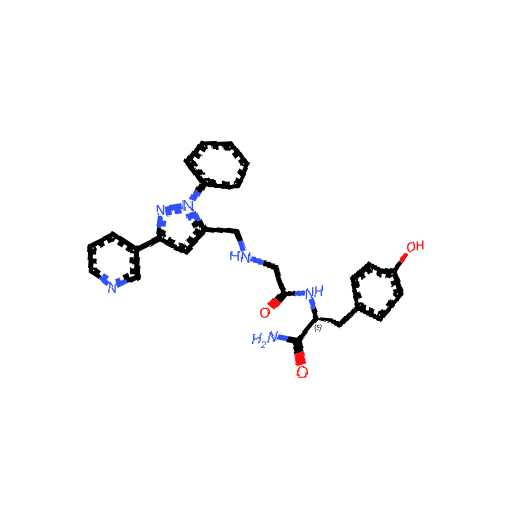 NC(=O)[C@H](Cc1ccc(O)cc1)NC(=O)CNCc1cc(-c2cccnc2)nn1-c1ccccc1